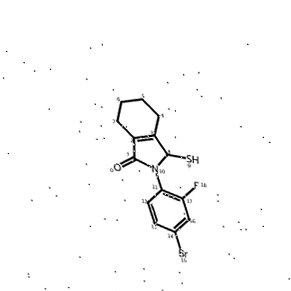 O=C1C2=C(CCCC2)C(S)N1c1ccc(Br)cc1F